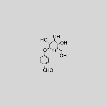 O=Cc1ccc(O[C@@H]2O[C@H](CO)[C@H](O)[C@H](O)[C@H]2O)cc1